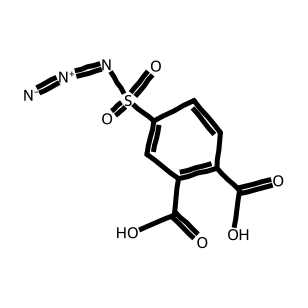 [N-]=[N+]=NS(=O)(=O)c1ccc(C(=O)O)c(C(=O)O)c1